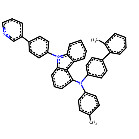 Cc1ccc(N(c2ccc(-c3ccccc3C)cc2)c2cccc3c2c2ccccc2n3-c2ccc(-c3cccnc3)cc2)cc1